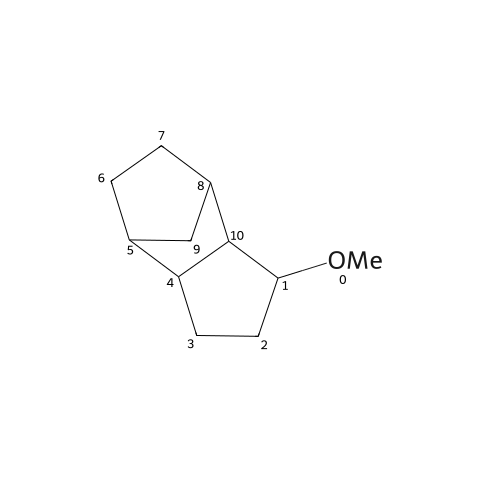 COC1CCC2C3CCC(C3)C12